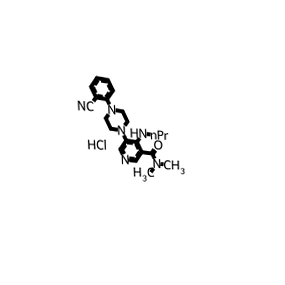 CCCNc1c(C(=O)N(C)C)cncc1N1CCN(c2ccccc2C#N)CC1.Cl